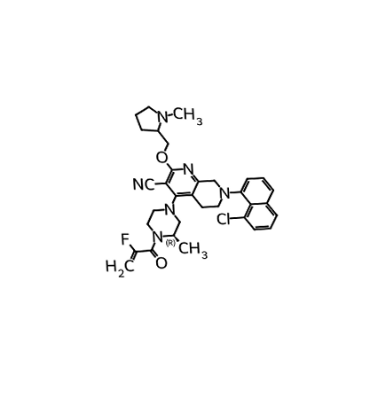 C=C(F)C(=O)N1CCN(c2c(C#N)c(OCC3CCCN3C)nc3c2CCN(c2cccc4cccc(Cl)c24)C3)C[C@H]1C